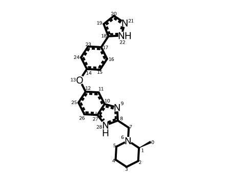 C[C@H]1CCCCN1Cc1nc2cc(Oc3ccc(-c4ccn[nH]4)cc3)ccc2[nH]1